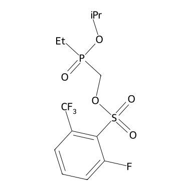 CCP(=O)(COS(=O)(=O)c1c(F)cccc1C(F)(F)F)OC(C)C